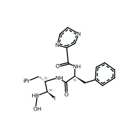 CC(C)C[C@H](NC(=O)[C@H](Cc1ccccc1)NC(=O)c1cnccn1)[C@@H](I)BO